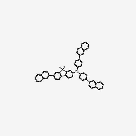 CC1(C)c2cc(-c3ccc4ccccc4c3)ccc2-c2ccc(N(c3ccc(-c4ccc5ccccc5c4)cc3)c3ccc(-c4ccc5ccccc5c4)cc3)cc21